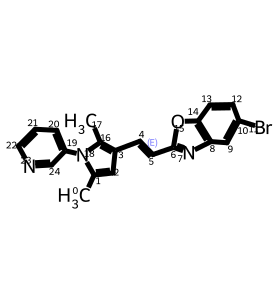 Cc1cc(/C=C/c2nc3cc(Br)ccc3o2)c(C)n1-c1cccnc1